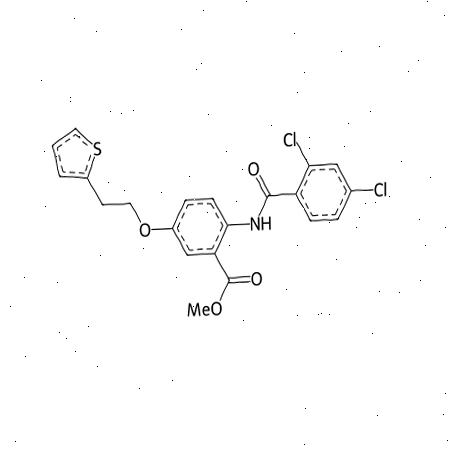 COC(=O)c1cc(OCCc2cccs2)ccc1NC(=O)c1ccc(Cl)cc1Cl